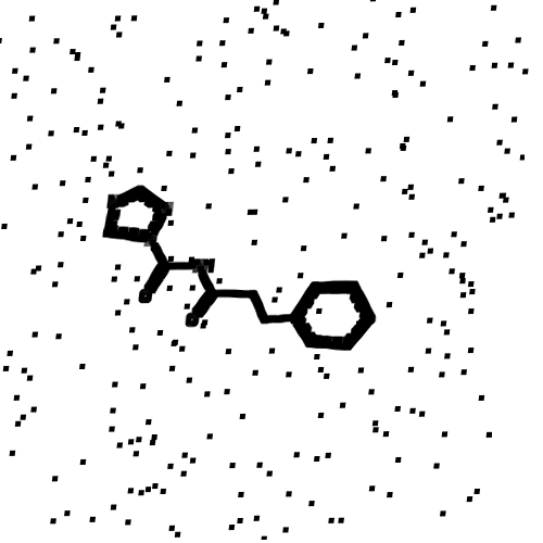 O=C(CCc1ccccc1)NC(=O)n1cncn1